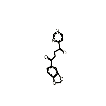 O=C(CCC(=O)c1ccncn1)c1ccc2c(c1)OCO2